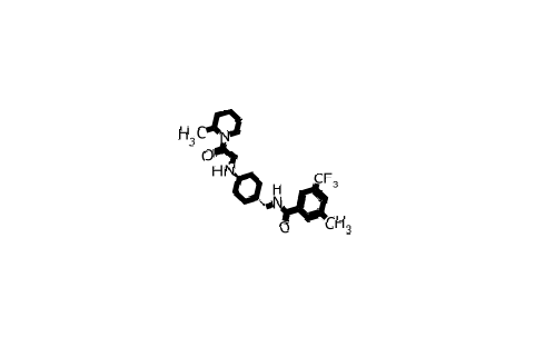 Cc1cc(C(=O)NC[C@H]2CC[C@H](NCC(=O)N3CCCCC3C)CC2)cc(C(F)(F)F)c1